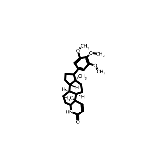 COc1cc(C2CC[C@H]3[C@@H]4CCC5NC(=O)C=C[C@]5(C)[C@@H]4CC[C@]23C)cc(OC)c1OC